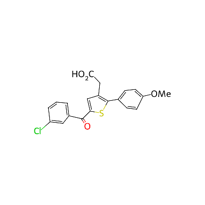 COc1ccc(-c2sc(C(=O)c3cccc(Cl)c3)cc2CC(=O)O)cc1